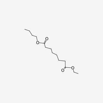 CCCCOC(=O)CCCCCCC(=O)OCC